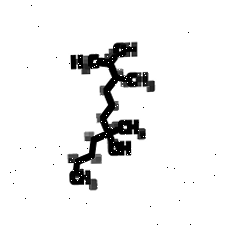 C=C(O)C(C)CCCC(C)(O)CCCC